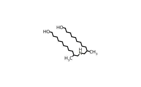 CC(CCCCCCCCCO)CNCC(C)CCCCCCCCCO